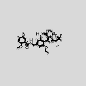 CCOc1cc(CNC(=O)c2cc(F)ccc2OC)cc(F)c1-c1nc([C@@H](C)C(F)(F)F)n2ncnc(N)c12